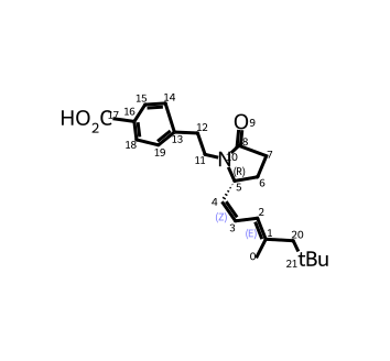 C/C(=C\C=C/[C@H]1CCC(=O)N1CCc1ccc(C(=O)O)cc1)CC(C)(C)C